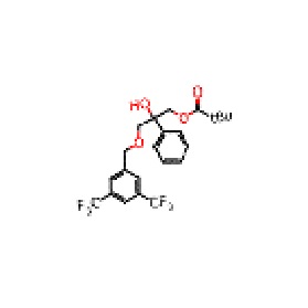 CC(C)(C)C(=O)OCC(O)(COCc1cc(C(F)(F)F)cc(C(F)(F)F)c1)c1ccccc1